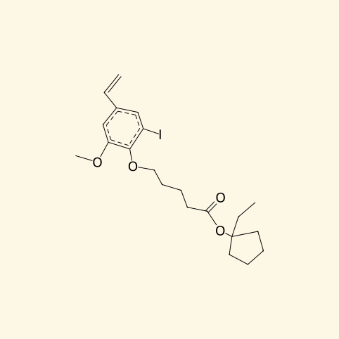 C=Cc1cc(I)c(OCCCCC(=O)OC2(CC)CCCC2)c(OC)c1